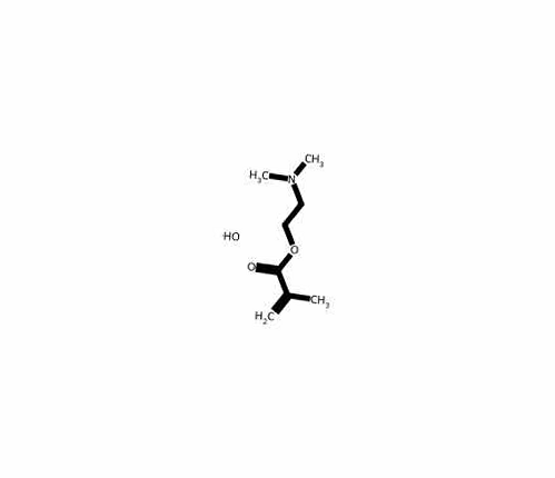 C=C(C)C(=O)OCCN(C)C.[OH]